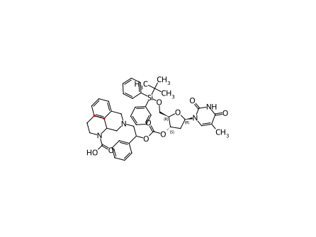 Cc1cn([C@H]2C[C@H](OC(=O)OC(CN(Cc3ccccc3)CC3CCCCN3C(=O)O)c3ccccc3)[C@@H](CO[Si](c3ccccc3)(c3ccccc3)C(C)(C)C)O2)c(=O)[nH]c1=O